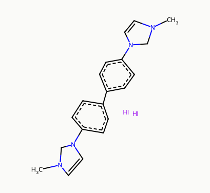 CN1C=CN(c2ccc(-c3ccc(N4C=CN(C)C4)cc3)cc2)C1.I.I